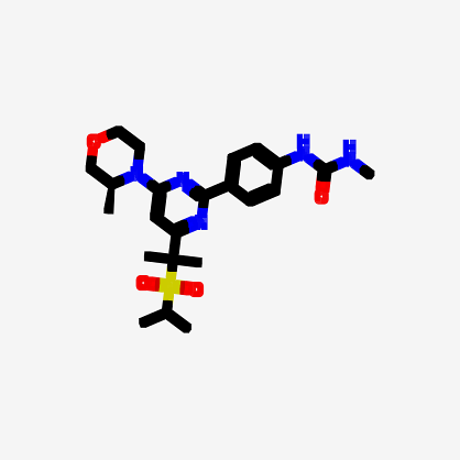 CNC(=O)Nc1ccc(-c2nc(N3CCOC[C@@H]3C)cc(C(C)(C)S(=O)(=O)C(C)C)n2)cc1